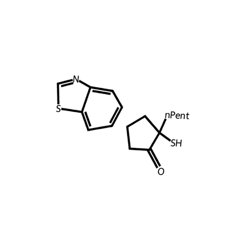 CCCCCC1(S)CCCC1=O.c1ccc2scnc2c1